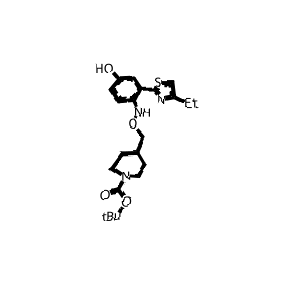 CCc1csc(-c2cc(O)ccc2NOCC2CCN(C(=O)OC(C)(C)C)CC2)n1